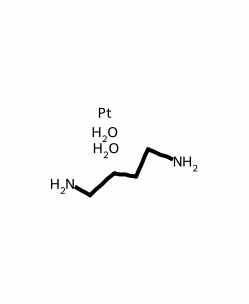 NCCCCN.O.O.[Pt]